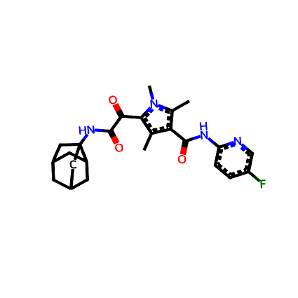 Cc1c(C(=O)Nc2ccc(F)cn2)c(C)n(C)c1C(=O)C(=O)NC12CC3CC(CC1C3)C2